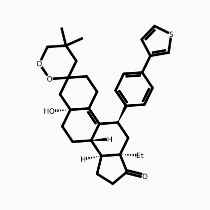 CC[C@@]12C[C@H](c3ccc(-c4ccsc4)cc3)C3=C4CCC5(CC(C)(C)COO5)C[C@]4(O)CC[C@H]3[C@@H]1CCC2=O